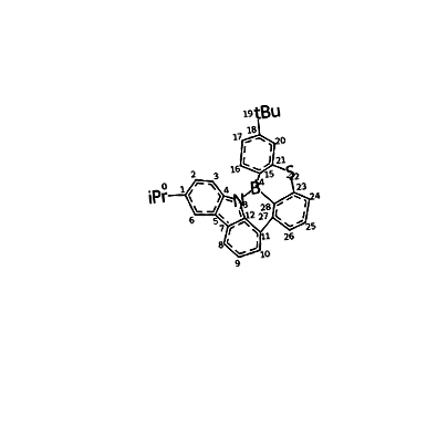 CC(C)c1ccc2c(c1)c1cccc3c1n2B1c2ccc(C(C)(C)C)cc2Sc2cccc-3c21